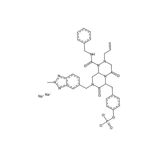 C=CCN1CC(=O)N2C(Cc3ccc(OP(=O)([O-])[O-])cc3)C(=O)N(Cc3ccc4nn(C)nc4c3)CC2N1C(=O)NCc1ccccc1.[Na+].[Na+]